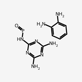 Nc1ccccc1N.Nc1nc(N)nc(NP=O)n1